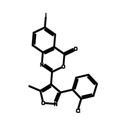 Cc1onc(-c2ccccc2Cl)c1-c1nc2ccc(I)cc2c(=O)o1